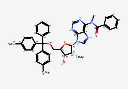 COc1ccc(C(OC[C@H]2O[C@@H](n3cnc4c(N(C)C(=O)c5ccccc5)ncnc43)[C@H](OC)[C@@H]2O)(c2ccccc2)c2ccc(OC)cc2)cc1